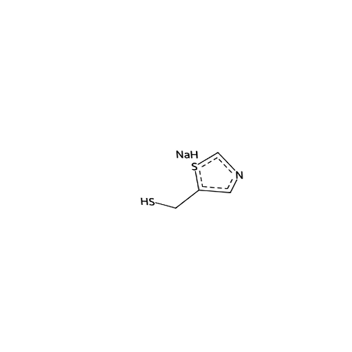 SCc1cncs1.[NaH]